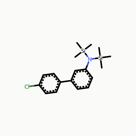 C[Si](C)(C)N(c1cccc(-c2ccc(Cl)cc2)c1)[Si](C)(C)C